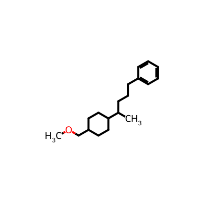 COCC1CCC(C(C)CCCc2ccccc2)CC1